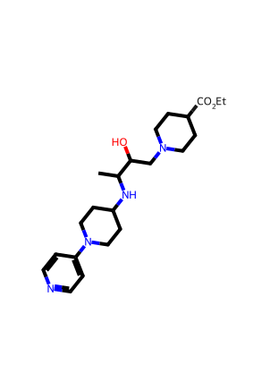 CCOC(=O)C1CCN(CC(O)C(C)NC2CCN(c3ccncc3)CC2)CC1